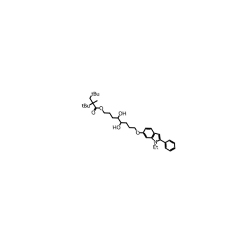 CCn1c(-c2ccccc2)cc2ccc(OCCCC(O)C(O)CCCOC(=O)C(C)(CC(C)(C)C)C(C)(C)C)cc21